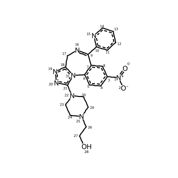 O=[N+]([O-])c1ccc2c(c1)C(c1ccccn1)=NCc1nnc(N3CCN(CCO)CC3)n1-2